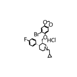 Cl.Fc1ccc([C@H]2CCN(CC3CC3)C[C@@H]2COc2cc3c(cc2Br)OCO3)cc1